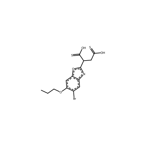 CCCOc1cc2oc(C(CC(O)=S)C(O)=S)nc2cc1Br